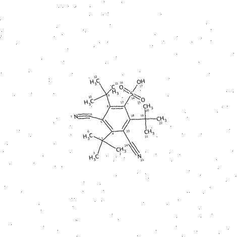 CC(C)(C)c1c(C#N)c(C(C)(C)C)c(S(=O)(=O)O)c(C(C)(C)C)c1C#N